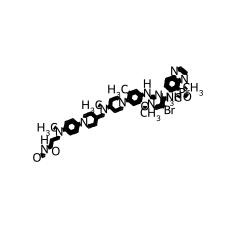 COc1cc(N2CCC(N(C)CC3CCN(c4ccc(N(C)CCC(=O)NC=O)cc4)CC3)CC2)c(C)cc1Nc1ncc(Br)c(Nc2ccc3nccnc3c2P(C)(C)=O)n1